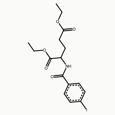 CCOC(=O)CCC(NC(=O)c1ccc(I)cc1)C(=O)OCC